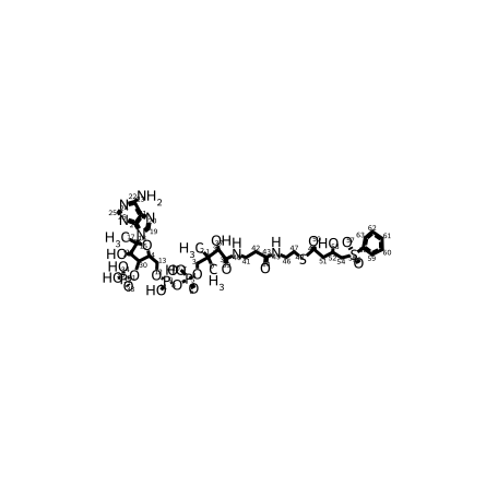 CC(C)(COP(=O)(O)OP(=O)(O)OCC1OC(C)(n2cnc3c(N)ncnc32)C(O)C1OP(=O)(O)O)C(O)C(=O)NCCC(=O)NCCSC(=O)CC(O)CS(=O)(=O)c1ccccc1